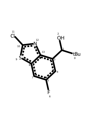 CC(C)(C)C(O)c1cc(F)cc2sc(Cl)nc12